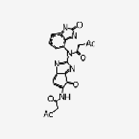 CC(=O)CC(=O)NC1=CC=C2N=C(N(C(=O)CC(C)=O)c3cccc4c3=NC(=O)N=4)N=C2C1=O